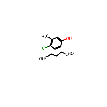 Cc1cc(O)ccc1Cl.O=CCCCC=O